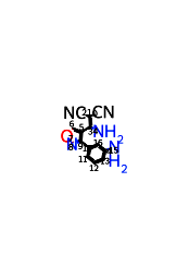 N#CC(C#N)=C(N)c1conc1-c1cccc(N)c1